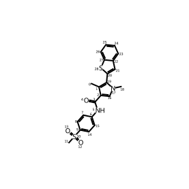 Cc1c(C(=O)Nc2ccc(S(C)(=O)=O)cc2)cn(C)c1-c1cc2ccccc2s1